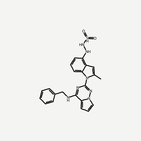 Cc1cc2c(NN[SH](=O)=O)cccc2n1-c1nc(NCc2ccccc2)c2cccn2n1